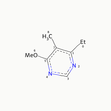 CCc1ncnc(OC)c1C